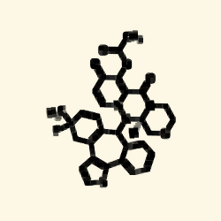 CC(=O)Oc1c2n(ccc1=O)N(C1C3=C(CC(C)(F)C=C3)c3ccsc3-c3ccccc31)[C@@H]1COCCN1C2=O